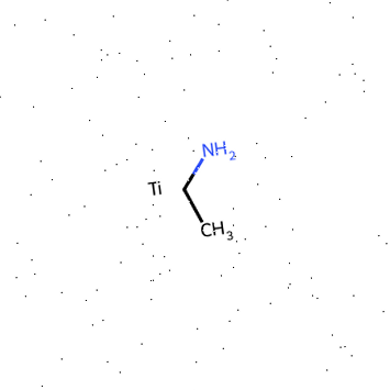 CCN.[Ti]